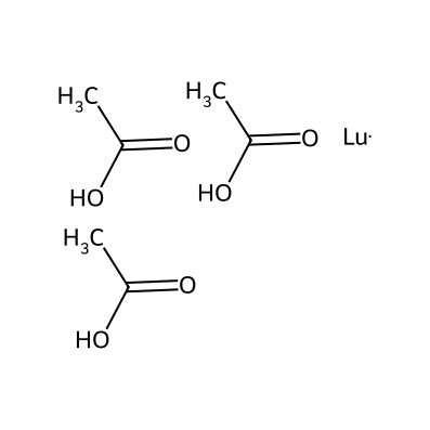 CC(=O)O.CC(=O)O.CC(=O)O.[Lu]